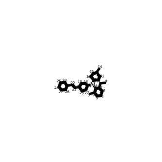 CCc1cccc(C)c1N(c1ccc(C)cc1)c1ccc(C=Cc2ccccc2)cc1